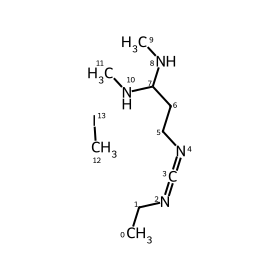 CCN=C=NCCC(NC)NC.CI